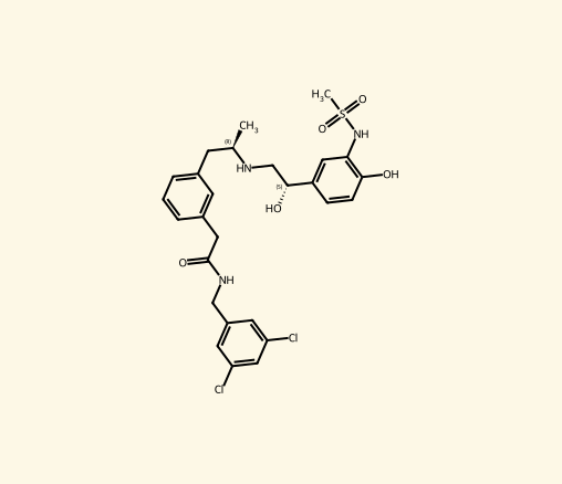 C[C@H](Cc1cccc(CC(=O)NCc2cc(Cl)cc(Cl)c2)c1)NC[C@@H](O)c1ccc(O)c(NS(C)(=O)=O)c1